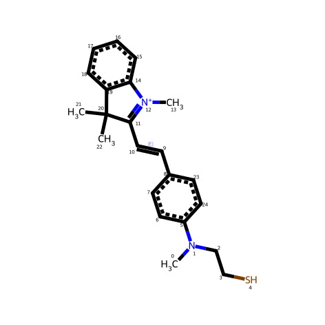 CN(CCS)c1ccc(/C=C/C2=[N+](C)c3ccccc3C2(C)C)cc1